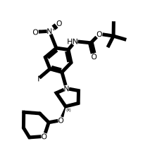 CC(C)(C)OC(=O)Nc1cc(N2CC[C@@H](OC3CCCCO3)C2)c(I)cc1[N+](=O)[O-]